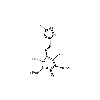 CCCCCn1c(O)c(N=Nc2cc(F)on2)c(CCCC)c(NC(C)=O)c1=O